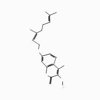 CC(C)=CCCC(C)=CCOc1ccc2c(O)c(OC(C)C)c(=O)oc2c1